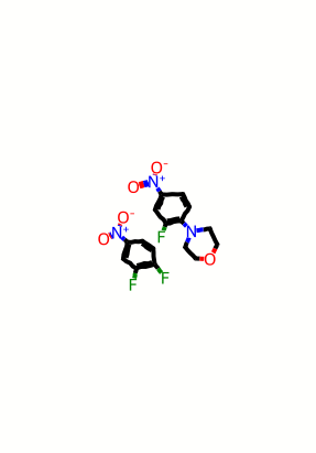 O=[N+]([O-])c1ccc(F)c(F)c1.O=[N+]([O-])c1ccc(N2CCOCC2)c(F)c1